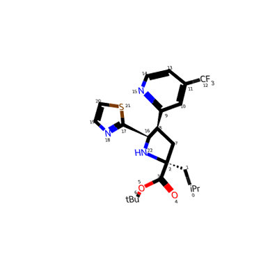 CC(C)C[C@@]1(C(=O)OC(C)(C)C)C[C@H](c2cc(C(F)(F)F)ccn2)[C@H](c2nccs2)N1